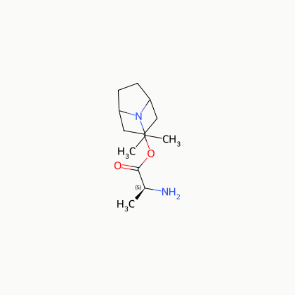 CC(C)N1C2CCC1CC(OC(=O)[C@H](C)N)C2